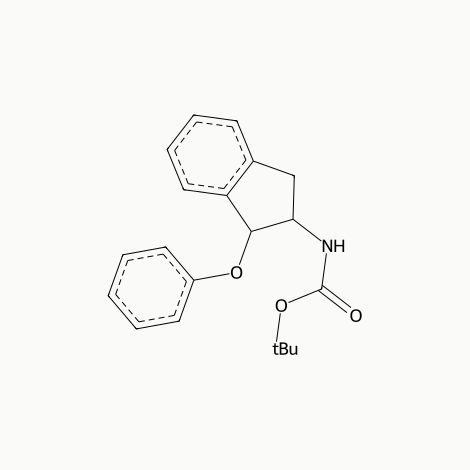 CC(C)(C)OC(=O)NC1Cc2ccccc2C1Oc1ccccc1